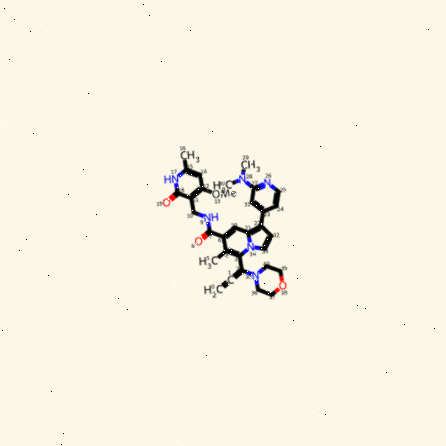 C=C=C(c1c(C)c(C(=O)NCc2c(OC)cc(C)[nH]c2=O)cc2c(-c3ccnc(N(C)C)c3)ccn12)N1CCOCC1